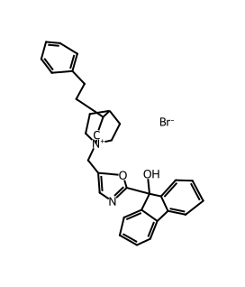 OC1(c2ncc(C[N+]34CCC(CC3)C(CCc3ccccc3)C4)o2)c2ccccc2-c2ccccc21.[Br-]